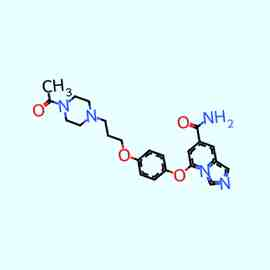 CC(=O)N1CCN(CCCOc2ccc(Oc3cc(C(N)=O)cc4cncn34)cc2)CC1